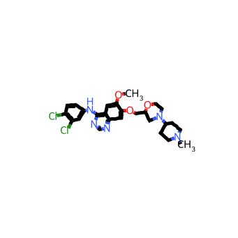 COc1cc2c(Nc3ccc(Cl)c(Cl)c3)ncnc2cc1OCC1CN(C2CCN(C)CC2)CCO1